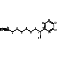 CCCCCCCCCCCCCCCC(I)c1ccccc1